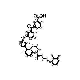 Cc1cccc(OCCCC(=O)N2CCCc3c(-c4cnn(Cc5cccc(C(=O)N6CCC=C(C(=O)O)C6)c5)c4)cccc32)c1C